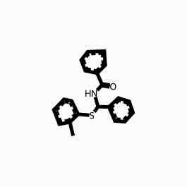 Cc1ccccc1SC(NC(=O)c1ccccc1)c1ccccc1